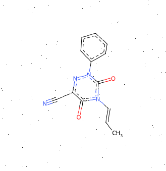 CC=Cn1c(=O)c(C#N)nn(-c2ccccc2)c1=O